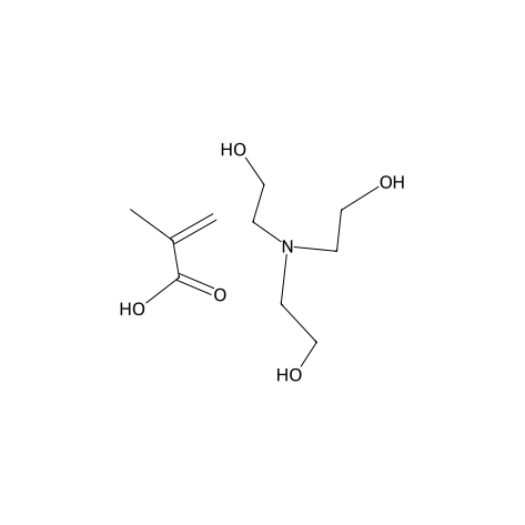 C=C(C)C(=O)O.OCCN(CCO)CCO